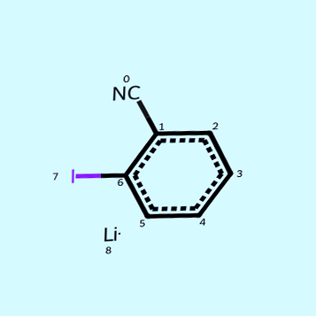 N#Cc1ccccc1I.[Li]